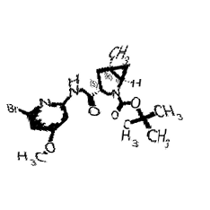 COc1cc(Br)nc(NC(=O)[C@@H]2C[C@@]3(C)C[C@H]3N2C(=O)OC(C)(C)C)c1